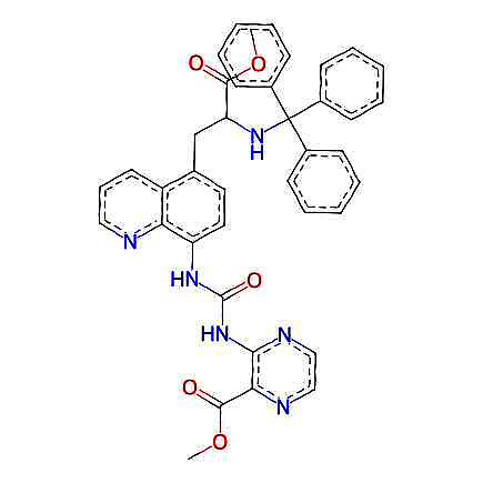 COC(=O)c1nccnc1NC(=O)Nc1ccc(CC(NC(c2ccccc2)(c2ccccc2)c2ccccc2)C(=O)OC)c2cccnc12